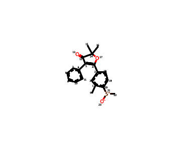 Cc1cc(C2=C(c3ccccc3)C(=O)C(C)(C)O2)ccc1[S+](C)[O-]